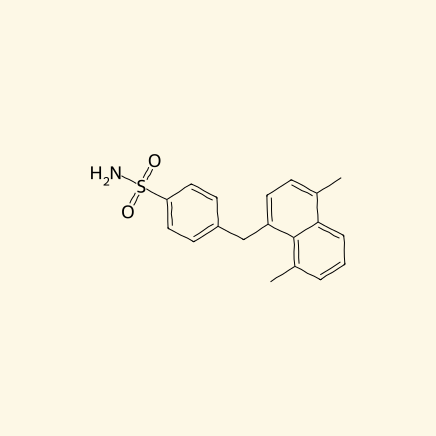 Cc1ccc(Cc2ccc(S(N)(=O)=O)cc2)c2c(C)cccc12